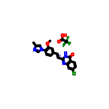 COc1cc(/C=C/c2nc3cc(Cl)ccc3c(=O)[nH]2)ccc1-n1cnc(C)c1.O=C(O)C(F)(F)F